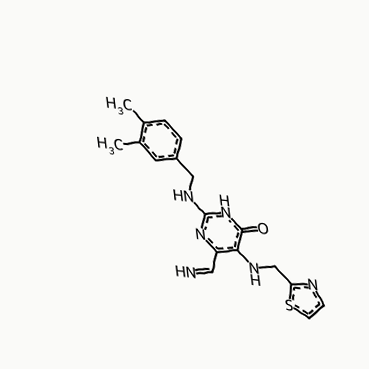 Cc1ccc(CNc2nc(C=N)c(NCc3nccs3)c(=O)[nH]2)cc1C